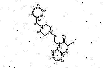 CCC(=O)N(CCN1CCN(Cc2ccccc2)CC1)c1ncccc1F